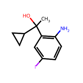 CC(O)(c1cc(I)ccc1N)C1CC1